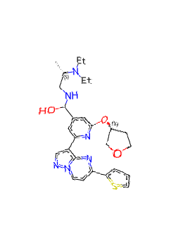 CCN(CC)[C@@H](C)CNC(O)c1cc(O[C@H]2CCOC2)nc(-c2cnn3ccc(-c4cccs4)nc23)c1